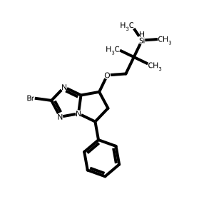 C[SiH](C)C(C)(C)COC1CC(c2ccccc2)n2nc(Br)nc21